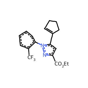 CCOC(=O)c1cc(C2=CCCC2)n(-c2ccccc2C(F)(F)F)n1